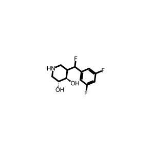 O[C@@H]1CNCC(C(F)c2cc(F)cc(F)c2)[C@H]1O